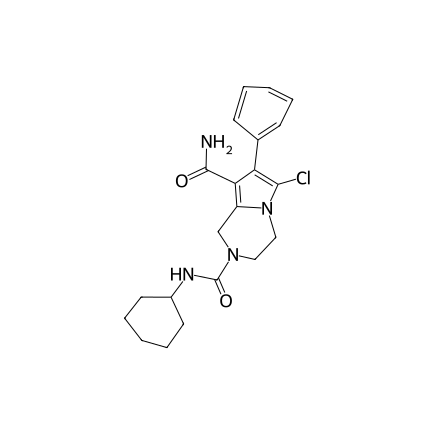 NC(=O)c1c(-c2ccccc2)c(Cl)n2c1CN(C(=O)NC1CCCCC1)CC2